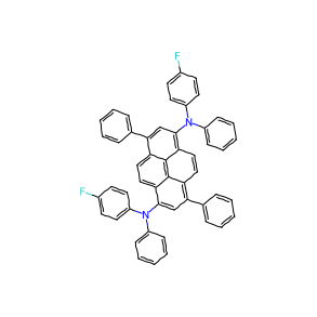 Fc1ccc(N(c2ccccc2)c2cc(-c3ccccc3)c3ccc4c(N(c5ccccc5)c5ccc(F)cc5)cc(-c5ccccc5)c5ccc2c3c54)cc1